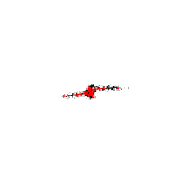 CCCOCCOCCOCCOCCOCCO[C@@H]1C[C@@H]2CCCC[C@]2(C)[C@H]2C[C@H](OCCOCCOCCOCCOCCOCCO)[C@]3(C)[C@@H]([C@H](C)CCC)CC[C@H]3[C@H]12